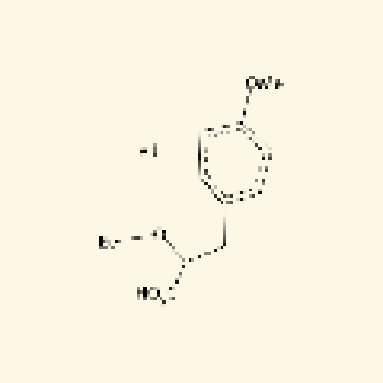 CCOC(Cc1ccc(OC)cc1)C(=O)O.[Pd]